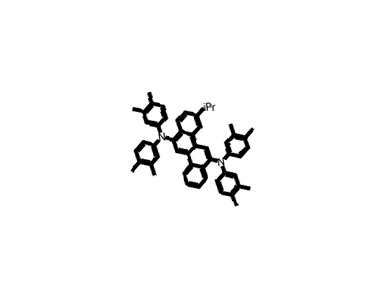 Cc1ccc(N(c2ccc(C)c(C)c2)c2cc3c4cc(C(C)C)ccc4c(N(c4ccc(C)c(C)c4)c4ccc(C)c(C)c4)cc3c3ccccc23)cc1C